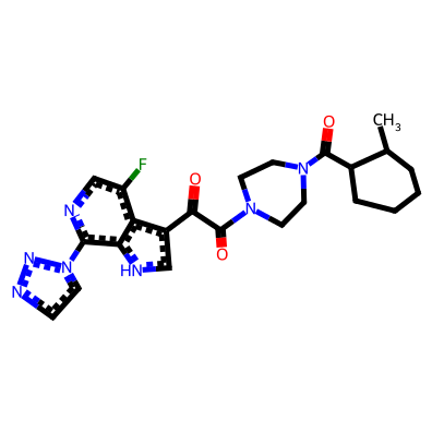 CC1CCCCC1C(=O)N1CCN(C(=O)C(=O)c2c[nH]c3c(-n4ccnn4)ncc(F)c23)CC1